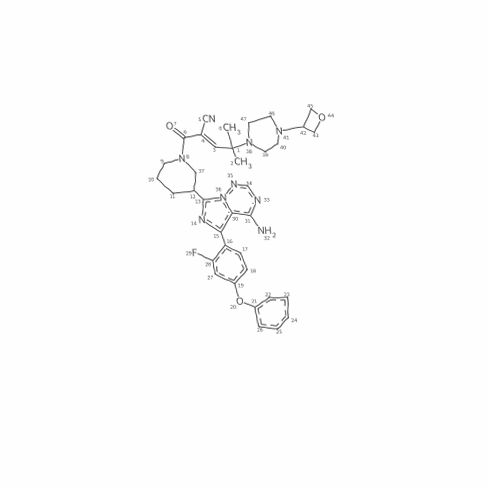 CC(C)(C=C(C#N)C(=O)N1CCCC(c2nc(-c3ccc(Oc4ccccc4)cc3F)c3c(N)ncnn23)C1)N1CCN(C2COC2)CC1